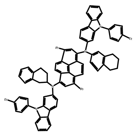 CCc1ccc(-n2c3ccccc3c3ccc(N(c4ccc5c(c4)CCCC5)c4cc(C(C)C)c5ccc6c(N(c7ccc8c9ccccc9n(-c9ccc(CC)cc9)c8c7)C7CCc8ccccc8C7)cc(C(C)C)c7ccc4c5c76)cc32)cc1